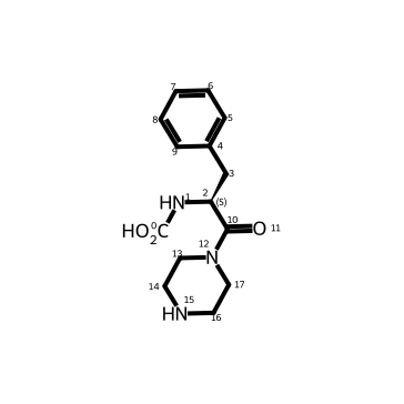 O=C(O)N[C@@H](Cc1ccccc1)C(=O)N1CCNCC1